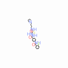 O=C(NNC(=S)ONCCCCN1CCCC1)c1ccc(NC(=O)c2ccccc2F)cc1